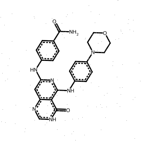 NC(=O)c1ccc(Nc2cc3nc[nH]c(=O)c3c(Nc3ccc(N4CCOCC4)cc3)n2)cc1